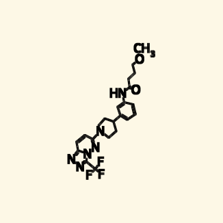 COCCCC(=O)Nc1cccc(C2CCN(c3ccc4nnc(C(F)(F)F)n4n3)CC2)c1